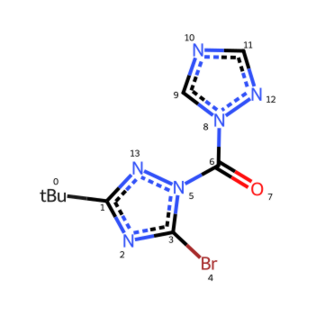 CC(C)(C)c1nc(Br)n(C(=O)n2cncn2)n1